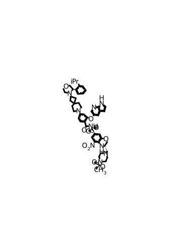 CC(C)c1ccccc1[C@@H]1COCCN1C1CC2(CCN(c3ccc(C(=O)NS(=O)(=O)c4cc5c(c([N+](=O)[O-])c4)N[C@@H](CN4CCN(S(C)(=O)=O)CC4)CO5)c(Oc4cnc5[nH]ccc5c4)c3)CC2)C1